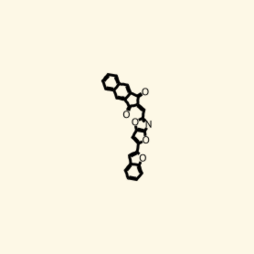 O=C1C(=Cc2nc3oc(-c4cc5ccccc5o4)cc3o2)C(=O)c2cc3ccccc3cc21